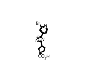 O=C(O)N1CCC(c2noc(-c3ccnc(Br)c3)n2)C1